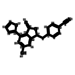 N#Cc1ccc(CC2OC(=O)c3c(-c4ccco4)nc(O)nc32)cc1